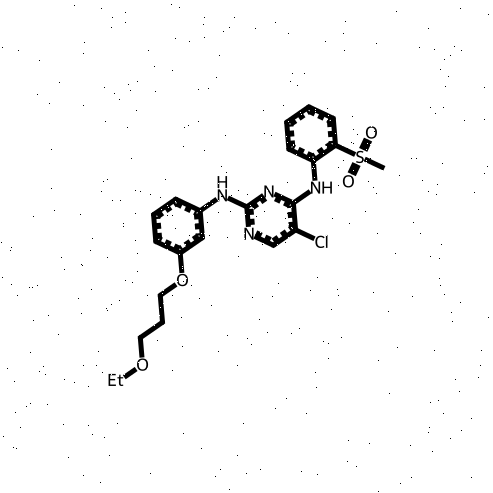 CCOCCCOc1cccc(Nc2ncc(Cl)c(Nc3ccccc3S(C)(=O)=O)n2)c1